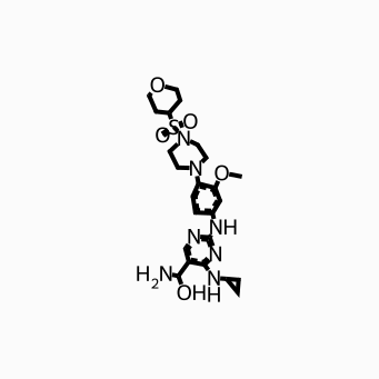 COc1cc(Nc2ncc(C(N)O)c(NC3CC3)n2)ccc1N1CCN(S(=O)(=O)C2CCOCC2)CC1